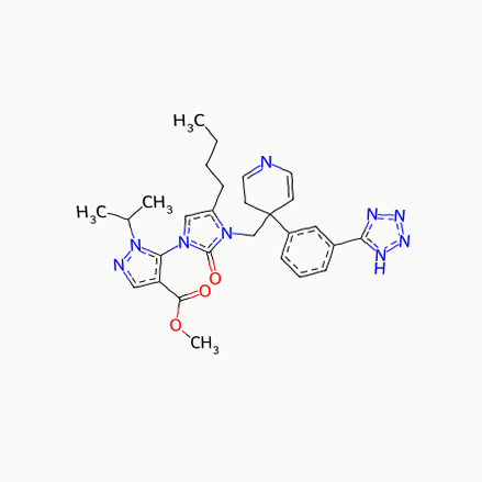 CCCCc1cn(-c2c(C(=O)OC)cnn2C(C)C)c(=O)n1CC1(c2cccc(-c3nnn[nH]3)c2)C=CN=CC1